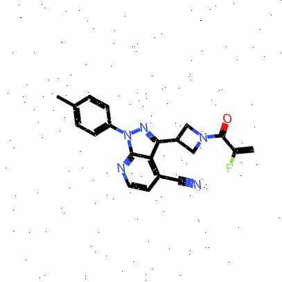 C=C(F)C(=O)N1CC(c2nn(-c3ccc(C)cc3)c3nccc(C#N)c23)C1